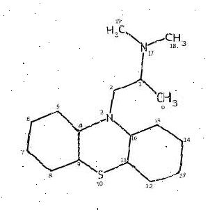 CC(CN1C2CCCCC2SC2CCCCC21)N(C)C